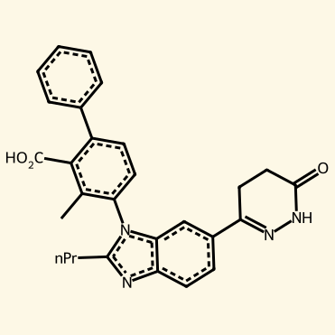 CCCc1nc2ccc(C3=NNC(=O)CC3)cc2n1-c1ccc(-c2ccccc2)c(C(=O)O)c1C